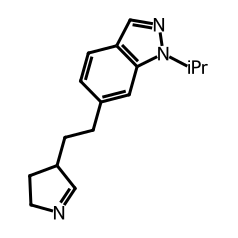 CC(C)n1ncc2ccc(CCC3C=NCC3)cc21